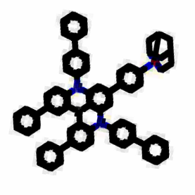 c1ccc(-c2ccc(N3c4ccc(-c5ccccc5)cc4B4c5cc(-c6ccccc6)ccc5N(c5ccc(-c6ccccc6)cc5)c5cc(-c6ccc(N7C8CC9CC(C8)CC7C9)cc6)cc3c54)cc2)cc1